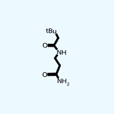 CC(C)(C)CC(=O)NCCC(N)=O